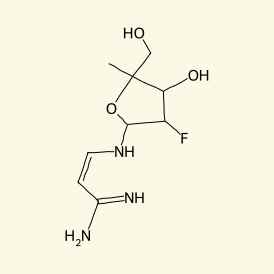 CC1(CO)OC(N/C=C\C(=N)N)C(F)C1O